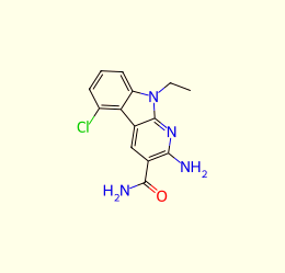 CCn1c2cccc(Cl)c2c2cc(C(N)=O)c(N)nc21